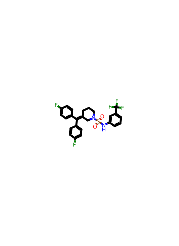 O=S(=O)(Nc1cccc(C(F)(F)F)c1)N1CCCC(=C(c2ccc(F)cc2)c2ccc(F)cc2)C1